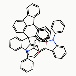 C1=CCC(C23c4ccccc4-c4cccc(c42)C(c2ccccc2)(c2ccccc2N(c2ccccc2)c2ccc4c(c2)c2ccccc2n4-c2ccccc2)c2ccccc23)C=C1